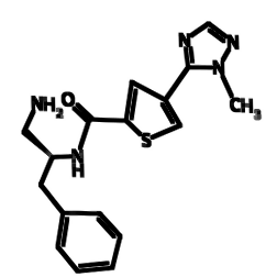 Cn1ncnc1-c1csc(C(=O)N[C@H](CN)Cc2ccccc2)c1